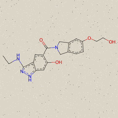 CCNc1n[nH]c2cc(O)c(C(=O)N3Cc4ccc(OCCO)cc4C3)cc12